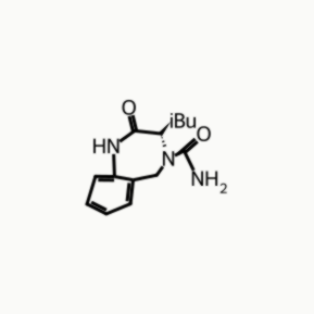 CC[C@H](C)[C@H]1C(=O)Nc2ccccc2CN1C(N)=O